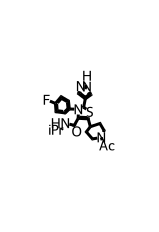 CC(=O)N1CCC(C2=C(C(=O)NC(C)C)N(c3ccc(F)cc3)C(c3cn[nH]c3)S2)CC1